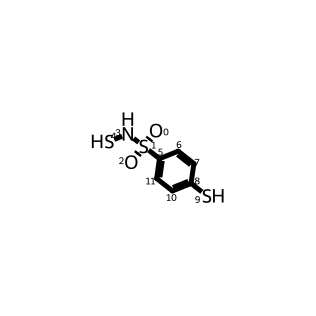 O=S(=O)(NS)c1ccc(S)cc1